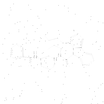 CCCCc1cccc2c1C(C(=O)N(CCC)N1CCCC(NC(=O)c3ccccc3)C1)c1ccccc1-2